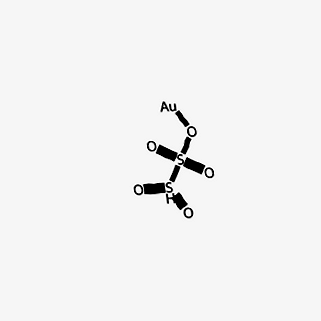 O=[SH](=O)S(=O)(=O)[O][Au]